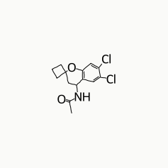 CC(=O)NC1CC2(CCC2)Oc2cc(Cl)c(Cl)cc21